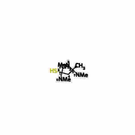 CNC(C)(S)CC(C)(NC)NC